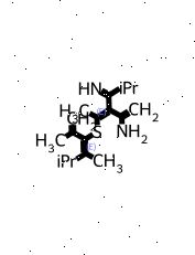 C=C(C)/C(S/C(C)=C(\C(=C)N)C(=N)C(C)C)=C(/C)C(C)C